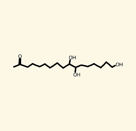 CC(=O)CCCCCCCC(O)C(O)CCCCCCO